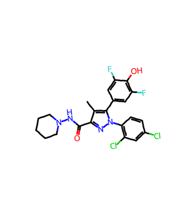 Cc1c(C(=O)NN2CCCCC2)nn(-c2ccc(Cl)cc2Cl)c1-c1cc(F)c(O)c(F)c1